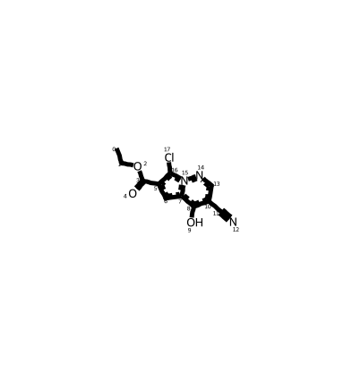 CCOC(=O)c1cc2c(O)c(C#N)cnn2c1Cl